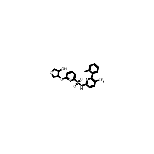 Cc1ccccc1-c1nc(NS(=O)(=O)c2cccc(OC3COCC3O)n2)ccc1C(F)(F)F